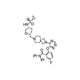 CC(C)N(C(=O)c1cc(F)ccc1Oc1nncnc1N1CC2(CCN(C[C@@H]3CC[C@@H](NS(=O)(=O)C4CC4)CO3)CC2)C1)C(C)C